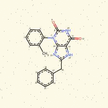 Cc1ccccc1-n1c(=O)[nH]c(=O)c2[nH]c(Cc3ccccc3)nc21